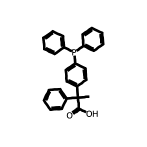 CC(C(=O)O)(c1ccccc1)c1ccc(P(c2ccccc2)c2ccccc2)cc1